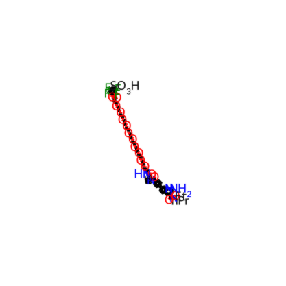 CCCN(OCC)C(=O)C1=Cc2ccc(-c3ccc(C(=O)N4CCC[C@@H]4C(=O)NCCOCCOCCOCCOCCOCCOCCOCCOCCOCCOCCC(=O)Oc4c(F)c(F)c(S(=O)(=O)O)c(F)c4F)cc3)cc2N=C(N)C1